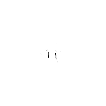 O=[N+]([O-])[O-].O=[N+]([O-])[O-].[Cu+2].[Ni+2]